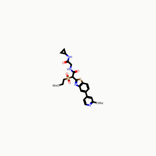 COCCS(=O)(=O)C(C(=O)NCC(=O)NC1CC1)c1nc2cc(-c3ccnc(OC)c3)ccc2s1